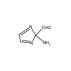 NC1([C]=O)N=CC=N1